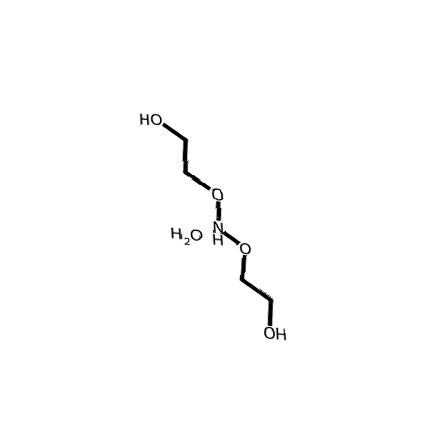 O.OCCONOCCO